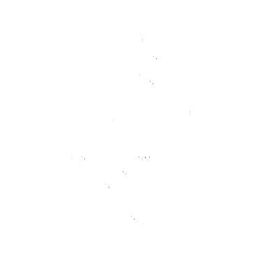 CNC1CC(ON2C(N)CC(N)C(O)C2O)C(N)CC(CO)OC1OC1OC(CO)C(NC(=O)C(N)CO)CC1O